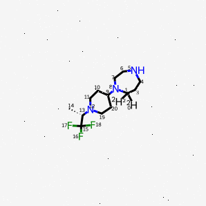 [2H]C1([2H])CCNCCN1C1CCN([C@@H](C)C(F)(F)F)CC1